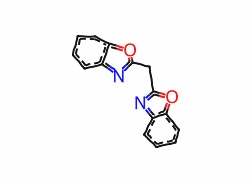 c1ccc2oc(Cc3nc4ccccc4o3)nc2c1